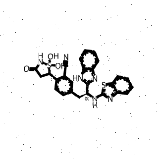 N#Cc1cc(C[C@H](Nc2nc3ccccc3s2)c2nc3ccccc3[nH]2)ccc1C1CC(=O)NS1(O)O